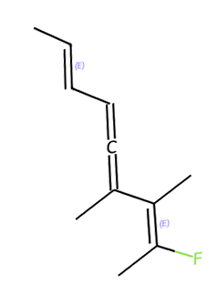 C/C=C/C=C=C(C)/C(C)=C(\C)F